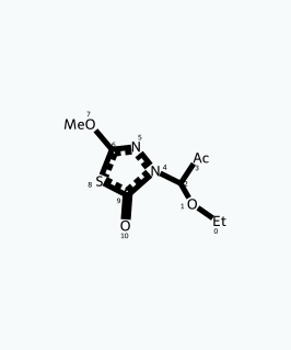 CCOC(C(C)=O)n1nc(OC)sc1=O